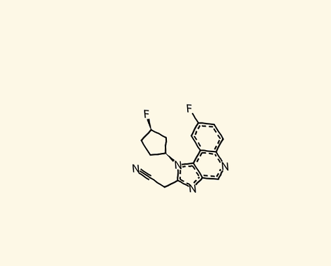 N#CCc1nc2cnc3ccc(F)cc3c2n1[C@H]1CC[C@@H](F)C1